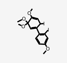 COC1=CC(I)C(c2ccc(OC)cc2I)=CC1(OC)OC